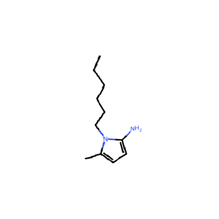 CCCCCCn1c(C)ccc1N